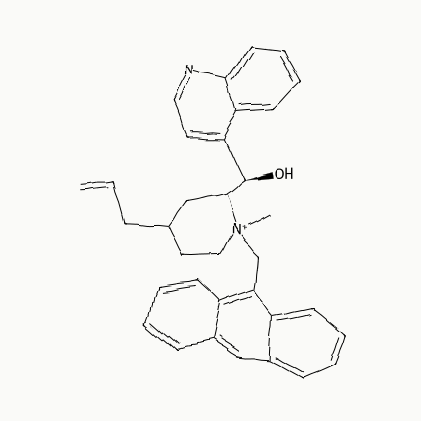 C=CCC1CC[N+](C)(Cc2c3ccccc3cc3ccccc23)C([C@H](O)c2ccnc3ccccc23)C1